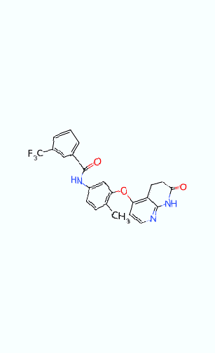 Cc1ccc(NC(=O)c2cccc(C(F)(F)F)c2)cc1Oc1ccnc2c1CCC(=O)N2